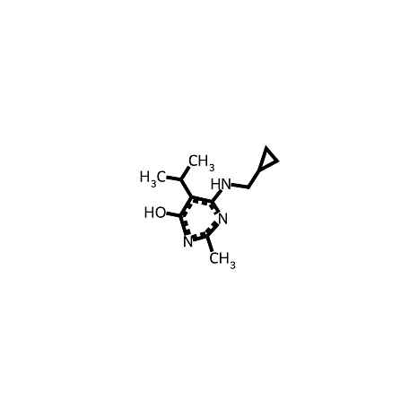 Cc1nc(O)c(C(C)C)c(NCC2CC2)n1